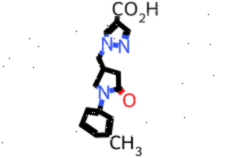 Cc1cccc(N2CC(Cn3cc(C(=O)O)cn3)CC2=O)c1